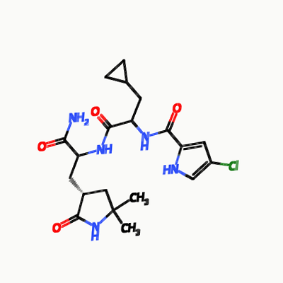 CC1(C)C[C@@H](CC(NC(=O)C(CC2CC2)NC(=O)c2cc(Cl)c[nH]2)C(N)=O)C(=O)N1